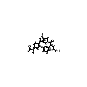 CC(=O)Nc1ccc(-c2n[nH]c3c2CN(C(=O)C(CCO)c2ccccc2)C3)cc1